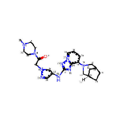 CN1CCN(C(=O)Cn2cc(Nc3nc4c(N5CC6CC[C@H](C6)C5)cccn4n3)cn2)CC1